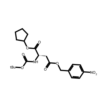 CC(C)(C)OC(=O)N[C@@H](CC(=O)OCc1ccc([N+](=O)[O-])cc1)C(=O)OC1CCCC1